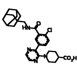 O=C(NCC12CC3CC(CC(C3)C1)C2)c1cc(-c2nccnc2N2CCC(C(=O)O)CC2)ccc1Cl